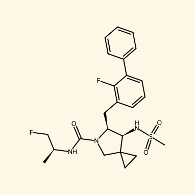 C[C@@H](CF)NC(=O)N1CC2(CC2)[C@H](NS(C)(=O)=O)[C@@H]1Cc1cccc(-c2ccccc2)c1F